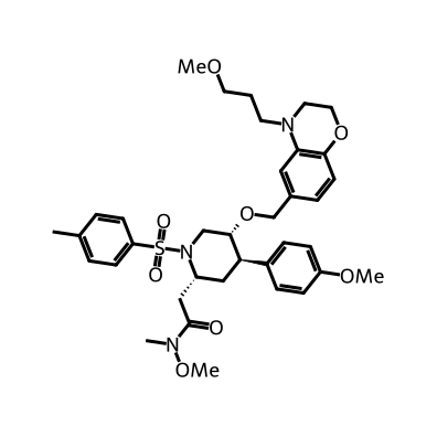 COCCCN1CCOc2ccc(CO[C@H]3CN(S(=O)(=O)c4ccc(C)cc4)[C@@H](CC(=O)N(C)OC)C[C@@H]3c3ccc(OC)cc3)cc21